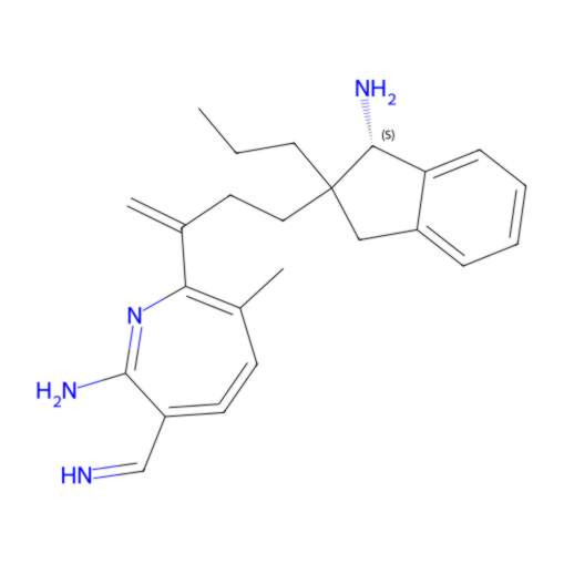 C=C(CCC1(CCC)Cc2ccccc2[C@H]1N)C1=C(C)C=C=C(C=N)C(N)=N1